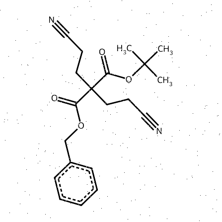 CC(C)(C)OC(=O)C(CCC#N)(CCC#N)C(=O)OCc1ccccc1